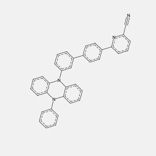 N#Cc1cccc(-c2ccc(-c3cccc(N4c5ccccc5N(c5ccccc5)c5ccccc54)c3)cc2)n1